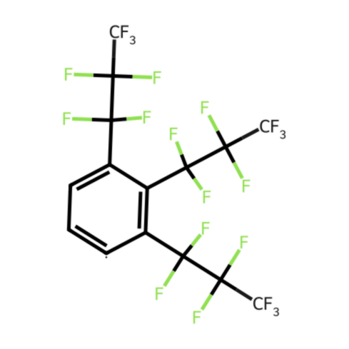 FC(F)(F)C(F)(F)C(F)(F)c1[c]ccc(C(F)(F)C(F)(F)C(F)(F)F)c1C(F)(F)C(F)(F)C(F)(F)F